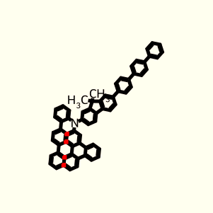 CC1(C)c2cc(-c3ccc(-c4ccc(-c5ccccc5)cc4)cc3)ccc2-c2ccc(N(c3ccc4c5ccccc5c5ccccc5c4c3)c3ccccc3-c3ccc(-c4ccccc4)cc3)cc21